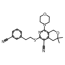 CC1(C)Cc2c(C#N)c(SCCc3cccc(C#N)c3)nc(N3CCOCC3)c2CO1